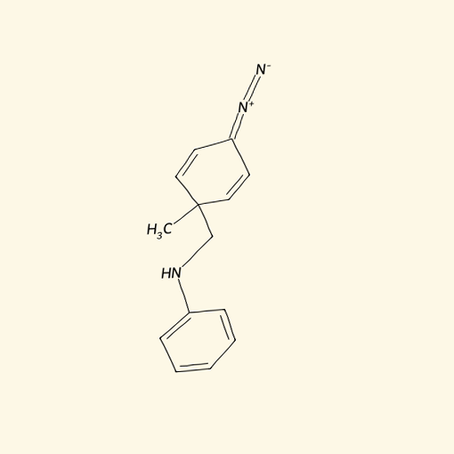 CC1(CNc2ccccc2)C=CC(=[N+]=[N-])C=C1